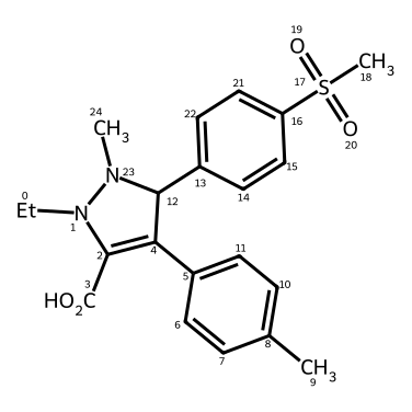 CCN1C(C(=O)O)=C(c2ccc(C)cc2)C(c2ccc(S(C)(=O)=O)cc2)N1C